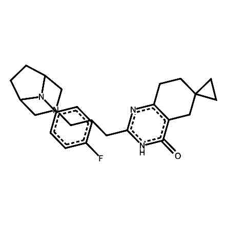 O=c1[nH]c(CCCN2CC3CCC(C2)N3c2ccc(F)cc2)nc2c1CC1(CC2)CC1